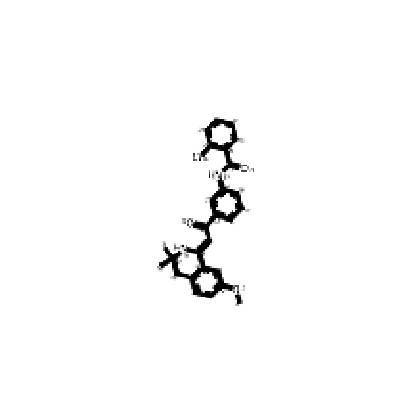 COc1ccc2c(c1)C(=CC(=O)c1cccc(NC(=O)c3ccccc3Cl)c1)NC(C)(C)C2